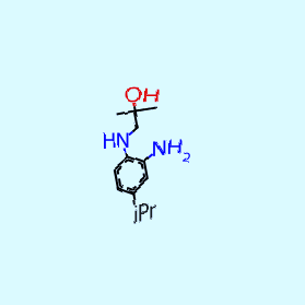 CC(C)c1ccc(NCC(C)(C)O)c(N)c1